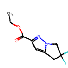 CCOC(=O)c1cc2n(n1)CC(F)(F)C2